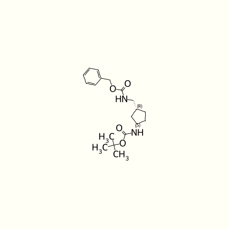 CC(C)(C)OC(=O)N[C@H]1CC[C@@H](CNC(=O)OCc2ccccc2)C1